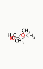 CC1C2CC(C(C)(C)O)C(O2)C1C